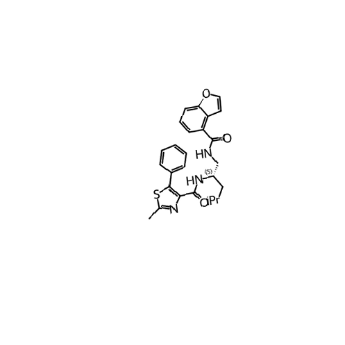 Cc1nc(C(=O)N[C@H](CNC(=O)c2cccc3occc23)CC(C)C)c(-c2ccccc2)s1